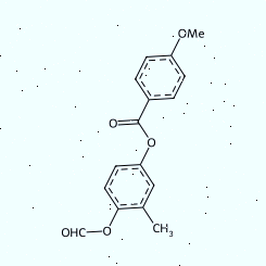 COc1ccc(C(=O)Oc2ccc(OC=O)c(C)c2)cc1